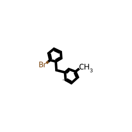 Cc1cc[c]c(Cc2ccccc2Br)c1